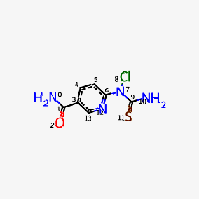 NC(=O)c1ccc(N(Cl)C(N)=S)nc1